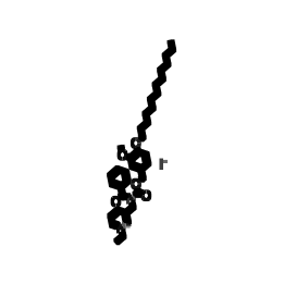 CCCCCCCCCCCCCCOc1ccc(COC(=O)N(Cc2ccc[n+](CC)c2)C(=O)c2ccccc2)cc1OC.[I-]